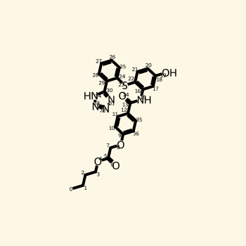 CCCCOC(=O)COc1ccc(C(=O)Nc2cc(O)ccc2Sc2ccccc2-c2nnn[nH]2)cc1